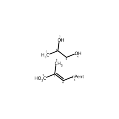 CC(O)CO.CCCCCC=C(C)C(=O)O